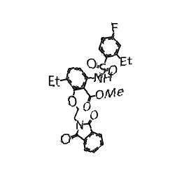 CCc1cc(F)ccc1S(=O)(=O)Nc1ccc(CC)c(OCCN2C(=O)c3ccccc3C2=O)c1C(=O)OC